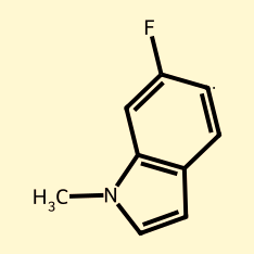 Cn1ccc2c[c]c(F)cc21